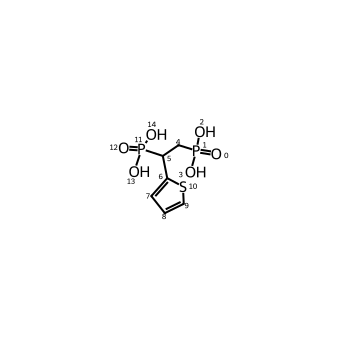 O=P(O)(O)CC(c1cccs1)P(=O)(O)O